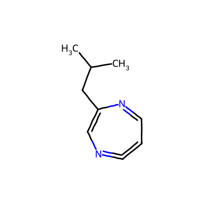 CC(C)CC1=CN=C=CC=N1